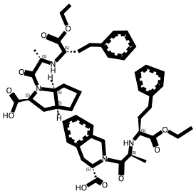 CCOC(=O)[C@H](CCc1ccccc1)N[C@@H](C)C(=O)N1Cc2ccccc2C[C@H]1C(=O)O.CCOC(=O)[C@H](CCc1ccccc1)N[C@@H](C)C(=O)N1[C@H](C(=O)O)C[C@@H]2CCC[C@@H]21